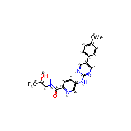 COc1ccc(-c2cnc(Nc3ccc(C(=O)NCC(O)C(F)(F)F)nc3)nc2)cc1